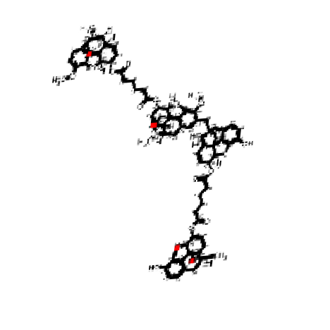 COc1ccc2c3c1O[C@H]1[C@@H](OC(=O)CCCCC(=O)O[C@H]4C=C[C@H]5[C@H]6Cc7cc(CN8CCC9%10c%11c%12ccc(O)c%11O[C@H]9[C@@H](OC(=O)CCCCC(=O)O[C@H]9C=C[C@H]%11[C@H]%13Cc%14ccc(O)c%15c%14C%11(CCN%13C)[C@H]9O%15)C=C[C@H]%10[C@H]8C%12)c(OC)c8c7[C@@]5(CCN6C)[C@H]4O8)C=C[C@H]4[C@@H](C2)N(C)CCC341